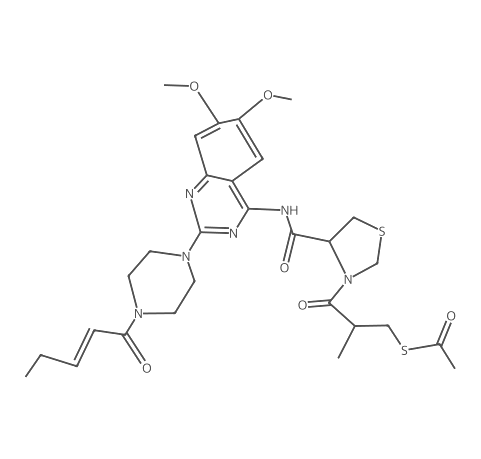 CCC=CC(=O)N1CCN(c2nc(NC(=O)C3CSCN3C(=O)C(C)CSC(C)=O)c3cc(OC)c(OC)cc3n2)CC1